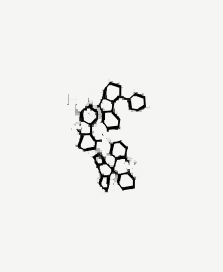 CC1(C)c2cc(N(c3ccc4c(c3)C3(c5ccccc5O4)c4ccccc4-c4ccccc43)c3cccc4oc5ccccc5c34)ccc2-c2c(-c3ccccc3)cccc21